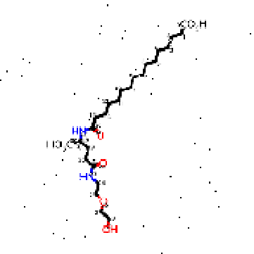 O=C(O)CCCCCCCCCCCCCCC(=O)N[C@@H](CCC(=O)NCCOCCO)C(=O)O